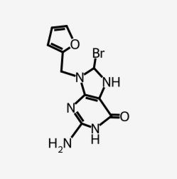 Nc1nc2c(c(=O)[nH]1)NC(Br)N2Cc1ccco1